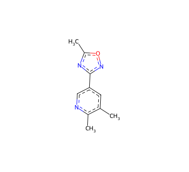 Cc1nc(-c2cnc(C)c(C)c2)no1